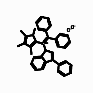 CC1=C(C)C(C)[C]([Zr+2](=[C](c2ccccc2)c2ccccc2)[CH]2C=C(c3ccccc3)c3ccccc32)=C1C.[Cl-].[Cl-]